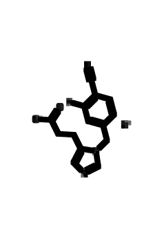 N#Cc1ccc(Cn2cncc2CCC(=O)[O-])cc1F.[Li+]